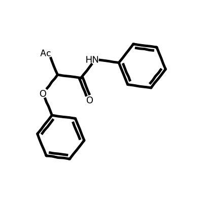 CC(=O)C(Oc1ccccc1)C(=O)Nc1ccccc1